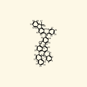 Cc1ccccc1B(c1cccc2ccccc12)c1ccc2c3c(cccc13)Oc1cc(N(c3ccccc3)c3ccc4c(c3)C(C)(C)c3ccccc3-4)ccc1-2